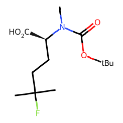 CN(C(=O)OC(C)(C)C)[C@@H](CCC(C)(C)F)C(=O)O